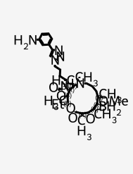 B[C@@H]1[C@@H](C)C(=O)[C@@H](C)C(=O)O[C@H](CC)[C@@]2(C)OC(=O)N(CCCCn3cc(-c4cccc(N)c4)nn3)[C@@H]2[C@H](C)N(C)CCC[C@@]1(C)OC